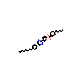 CCCCCCCC[C@H]1CC[C@H](c2cnc(-c3ccc(OC(=O)C4CCC(CCCCC)CC4)cc3)nc2)CC1